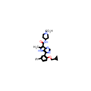 Cc1[nH]c2c(-c3cc(C(C)C)ccc3OCC3CC3)ncnc2c1C(=O)NC1CCN(C(=O)O)CC1